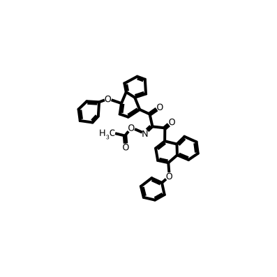 CC(=O)ON=C(C(=O)c1ccc(Oc2ccccc2)c2ccccc12)C(=O)c1ccc(Oc2ccccc2)c2ccccc12